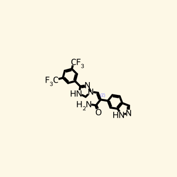 NC(=O)/C(=C\N1CNC(c2cc(C(F)(F)F)cc(C(F)(F)F)c2)=N1)c1ccc2cn[nH]c2c1